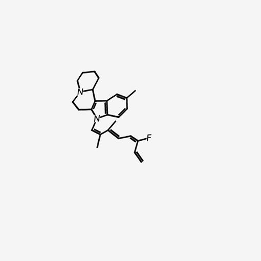 C=C\C(F)=C/C=C(C)/C(C)=C\n1c2c(c3cc(C)ccc31)C1CCCCN1CC2